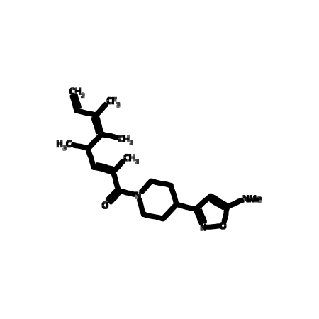 C=C/C(=C(/C)C(C)/C=C(\C)C(=O)N1CCC(c2cc(NC)on2)CC1)C(F)(F)F